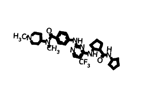 CN1CCC(N(C)C(=O)c2ccc(Nc3ncc(C(F)(F)F)c(NC4CCCC4C(=O)NC4CCCC4)n3)cc2)CC1